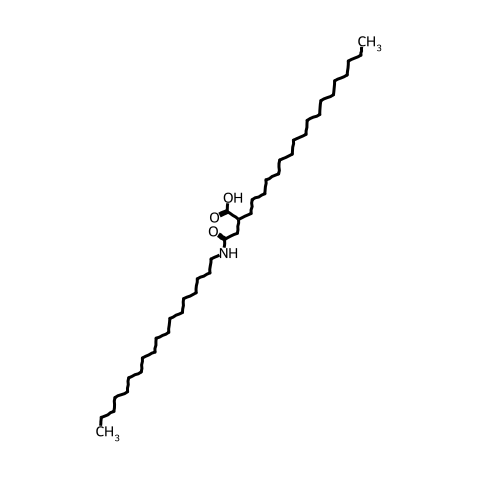 CCCCCCCCCCCCCCCCCCNC(=O)CC(CCCCCCCCCCCCCCCCCC)C(=O)O